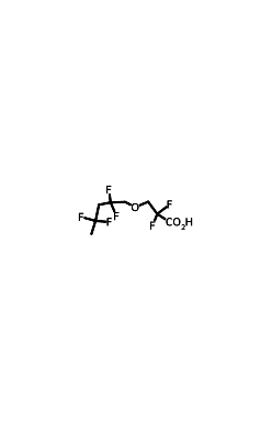 CC(F)(F)CC(F)(F)COCC(F)(F)C(=O)O